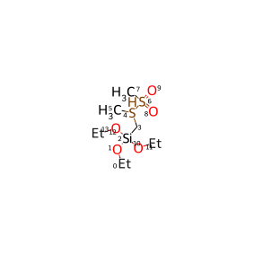 CCO[Si](C[SH](C)S(C)(=O)=O)(OCC)OCC